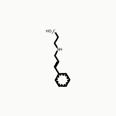 O=C(O)CCNC/C=C/c1ccccc1